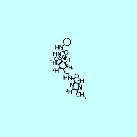 [2H]c1nc(C(=O)NCCc2c([2H])c([2H])c(S(=O)(=O)NC(=O)NC3CCCCC3)c([2H])c2[2H])c([2H])nc1C